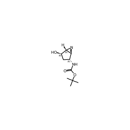 CC(C)(C)OC(=O)N[C@@H]1C[C@@H](O)[C@@H]2N=C21